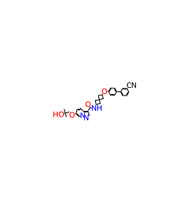 CC(C)(O)COc1ccc2c(C(=O)NC3CC4(C3)CC(Oc3ccc(-c5cccc(C#N)c5)cc3)C4)cnn2c1